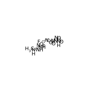 CN[C@H]1CN[C@H](c2nc3c(F)c4c(c(F)c3[nH]2)CC(CN2CCC3(CC2)CN(c2cnc5c(n2)NC(=O)CO5)C(=O)O3)C4)C1